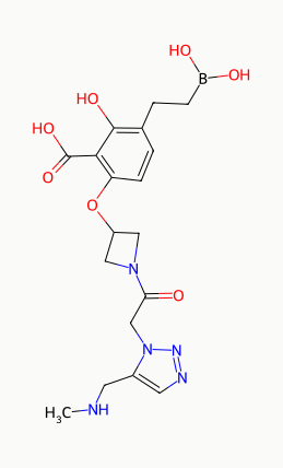 CNCc1cnnn1CC(=O)N1CC(Oc2ccc(CCB(O)O)c(O)c2C(=O)O)C1